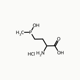 CP(O)CCC(N)C(=O)O.Cl